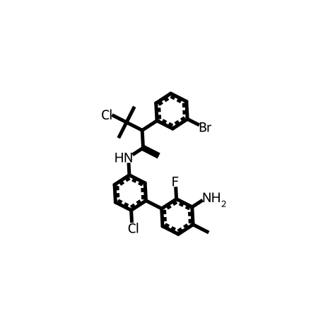 C=C(Nc1ccc(Cl)c(-c2ccc(C)c(N)c2F)c1)C(c1cccc(Br)c1)C(C)(C)Cl